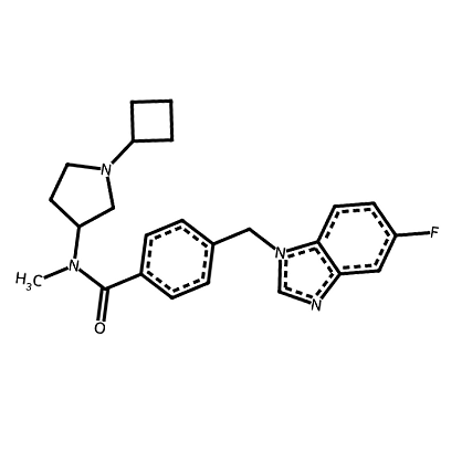 CN(C(=O)c1ccc(Cn2cnc3cc(F)ccc32)cc1)C1CCN(C2CCC2)C1